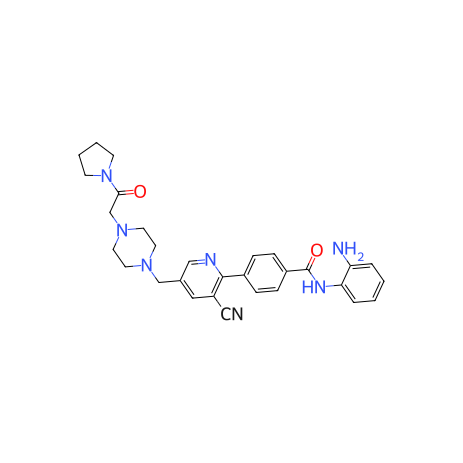 N#Cc1cc(CN2CCN(CC(=O)N3CCCC3)CC2)cnc1-c1ccc(C(=O)Nc2ccccc2N)cc1